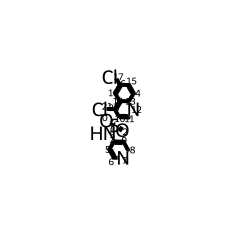 O=S(=O)(Nc1ccncc1)c1cnc2ccc(Cl)cc2c1Cl